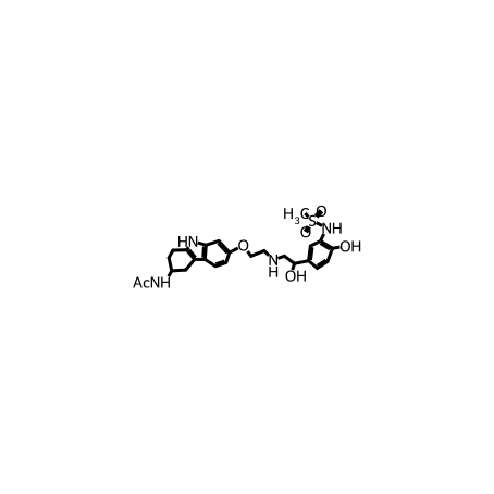 CC(=O)NC1CCc2[nH]c3cc(OCCNCC(O)c4ccc(O)c(NS(C)(=O)=O)c4)ccc3c2C1